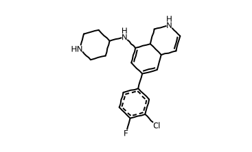 Fc1ccc(C2=CC3C=CNCC3C(NC3CCNCC3)=C2)cc1Cl